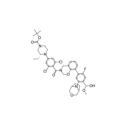 CC[C@@H]1CN(C(=O)OC(C)(C)C)CCN1c1cc(Cl)c(C(=O)N2COc3c(cccc3-c3cc(N4C5CCC4COC5)c(C(O)OC)cc3F)C2)c(Cl)c1